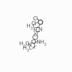 C=NC1=C(/C=C\C)[C@@H](N)C2(CCN(c3cnc(-c4cccc(Cl)c4Cl)c(C)n3)CC2)C1